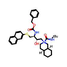 CC(C)(C)NC(=O)[N+]1(C[C@H](O)[C@@H](CSc2ccc3ccccc3c2)NC(=O)OCc2ccccc2)CC[C@@H]2CCCC[C@@H]2C1